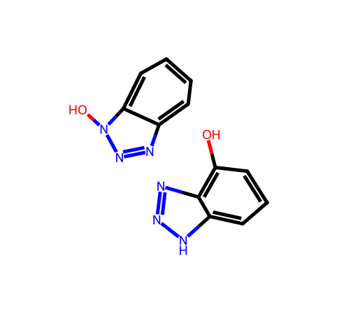 Oc1cccc2[nH]nnc12.On1nnc2ccccc21